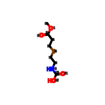 COC(=O)CCSCCNC(=O)O